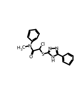 CN(C(=O)C(Cl)Sc1nnc(-c2ccccc2)[nH]1)c1ccccc1